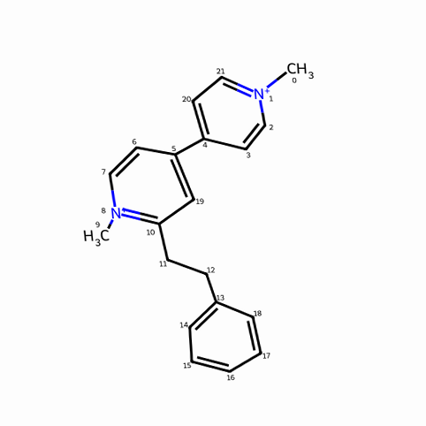 C[n+]1ccc(-c2cc[n+](C)c(CCc3ccccc3)c2)cc1